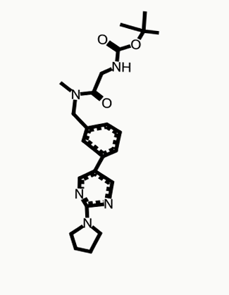 CN(Cc1cccc(-c2cnc(N3CCCC3)nc2)c1)C(=O)CNC(=O)OC(C)(C)C